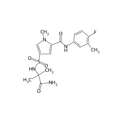 Cc1cc(NC(=O)c2cc(S(=O)(=O)NC(C)(C)C(N)=O)cn2C)ccc1F